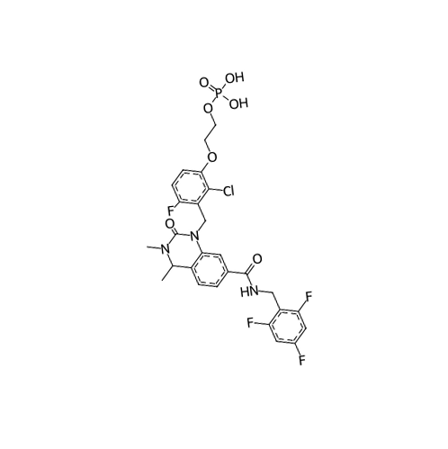 CC1c2ccc(C(=O)NCc3c(F)cc(F)cc3F)cc2N(Cc2c(F)ccc(OCCOP(=O)(O)O)c2Cl)C(=O)N1C